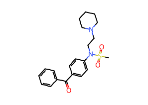 CS(=O)(=O)N(CCN1CCCCC1)c1ccc(C(=O)c2ccccc2)cc1